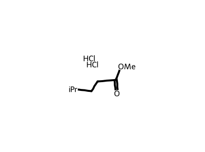 COC(=O)CCC(C)C.Cl.Cl